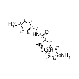 Cc1ccc(CNC(=O)C(Cc2cccc(N)c2)NC(=O)O)cc1